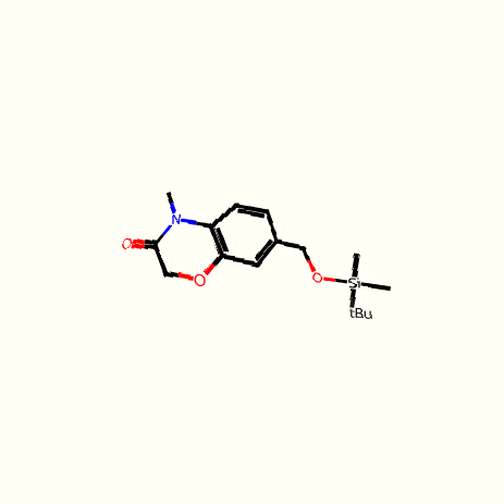 CN1C(=O)COc2cc(CO[Si](C)(C)C(C)(C)C)ccc21